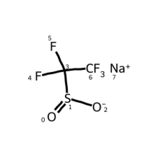 O=S([O-])C(F)(F)C(F)(F)F.[Na+]